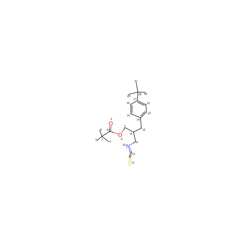 CC(C)(C)C(=O)OCC(CN=C=S)Cc1ccc(C(C)(C)C)cc1